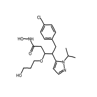 CC(C)n1nccc1C(Cc1ccc(Cl)cc1)C(CC(=O)NO)OCCCO